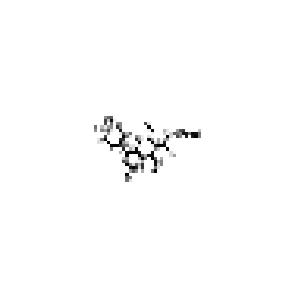 C=C/C=C(/C(=N/C)c1nc(C)cc(C2=CCS(=O)(=O)CC2)c1C)C(C)CC(C)CCC